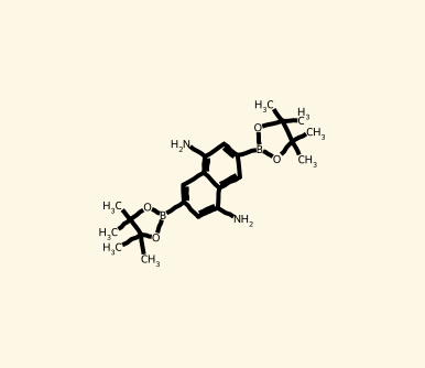 CC1(C)OB(c2cc(N)c3cc(B4OC(C)(C)C(C)(C)O4)cc(N)c3c2)OC1(C)C